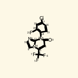 O=c1cc(C(F)(F)F)n2ccnc2n1-c1ccc(Cl)cc1F